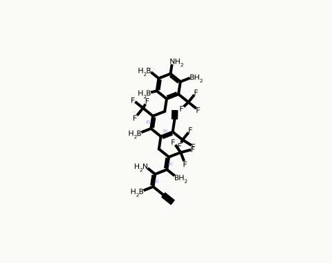 B/C(C#C)=C(N)/C(B)=C(\CC(/C(B)=C(\Cc1c(B)c(B)c(N)c(B)c1C(F)(F)F)C(F)(F)F)=C(/C#C)C(F)(F)F)C(F)(F)F